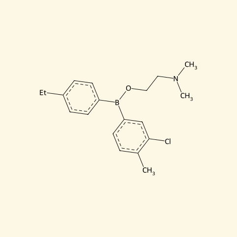 CCc1ccc(B(OCCN(C)C)c2ccc(C)c(Cl)c2)cc1